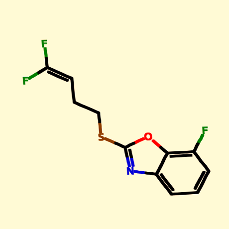 FC(F)=CCCSc1nc2cccc(F)c2o1